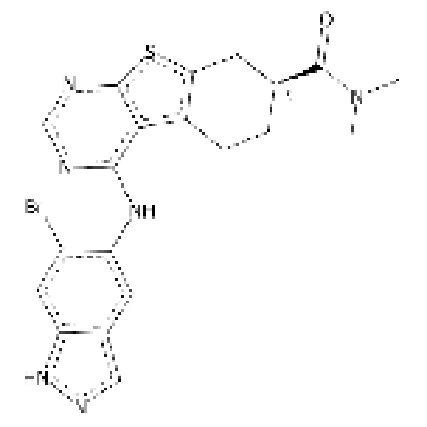 CN(C)C(=O)[C@H]1CCc2c(sc3ncnc(Nc4cc5cn[nH]c5cc4Br)c23)C1